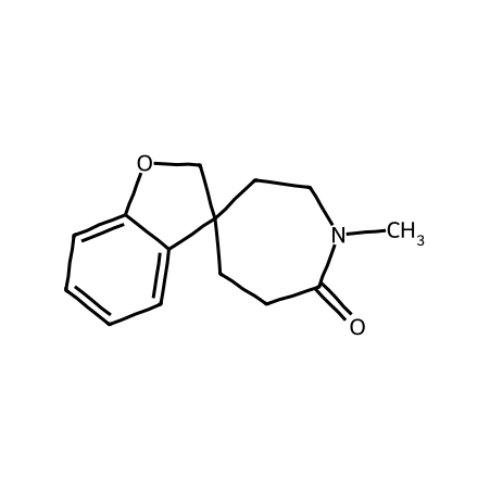 CN1CCC2(CCC1=O)COc1ccccc12